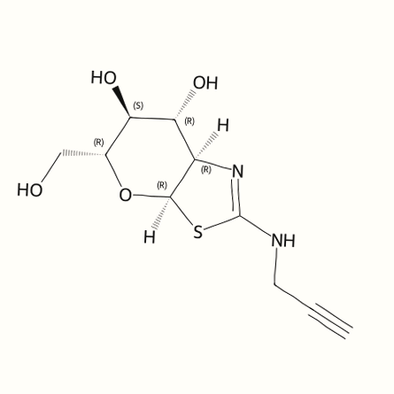 C#CCNC1=N[C@@H]2[C@@H](O)[C@H](O)[C@@H](CO)O[C@@H]2S1